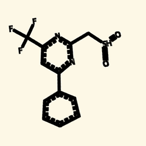 O=[SH](=O)Cc1nc(-c2ccccc2)cc(C(F)(F)F)n1